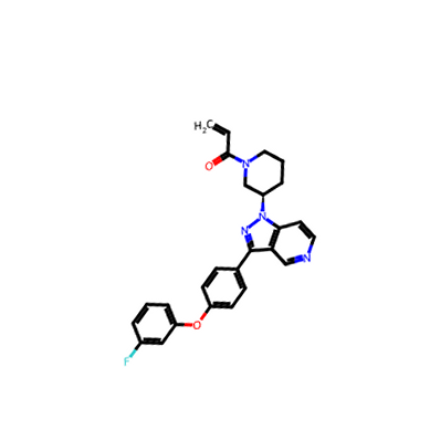 C=CC(=O)N1CCC[C@@H](n2nc(-c3ccc(Oc4cccc(F)c4)cc3)c3cnccc32)C1